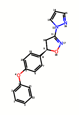 c1ccc(Oc2ccc([C@H]3CC(n4cccn4)=NO3)cc2)cc1